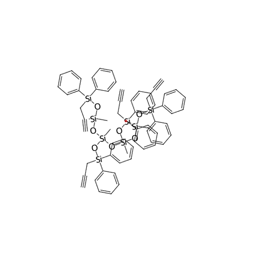 C#CC[Si](O[Si](C)(C)O[Si](C)(O[Si](C)(O[Si](C)(C)O[Si](CC#C)(c1ccccc1)c1ccccc1)O[Si](CC#C)(c1ccccc1)c1ccccc1)O[Si](CC#C)(c1ccccc1)c1ccccc1)(c1ccccc1)c1ccccc1